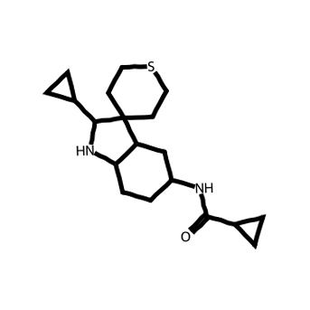 O=C(NC1CCC2NC(C3CC3)C3(CCSCC3)C2C1)C1CC1